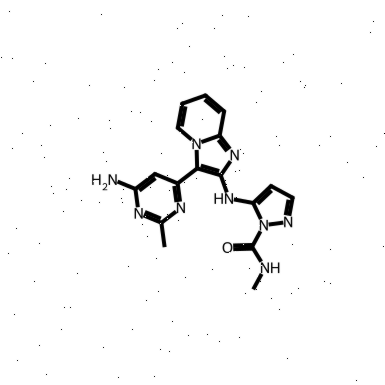 CNC(=O)n1nccc1Nc1nc2ccccn2c1-c1cc(N)nc(C)n1